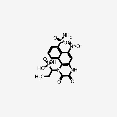 CCC(n1c(=O)c(=O)[nH]c2cc([N+](=O)[O-])c3c(S(N)(=O)=O)cccc3c21)P(=O)(O)O